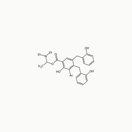 CCN(CC)C(C)OC(=O)c1cc(Cc2ccccc2O)c(Cc2ccccc2O)c(C(C)=O)c1O